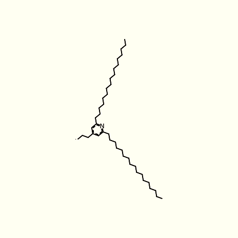 [CH2]CCc1cc(CCCCCCCCCCCCCCCCC)nc(CCCCCCCCCCCCCCCCC)c1